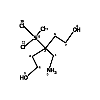 NCC(CCO)(CCO)[Si](Cl)(Cl)Cl